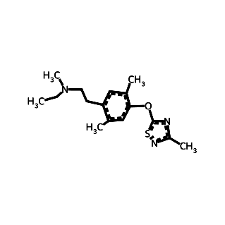 CCN(C)CCc1cc(C)c(Oc2nc(C)ns2)cc1C